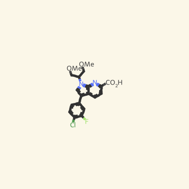 COCC(COC)n1cc(-c2ccc(Cl)c(F)c2)c2ccc(C(=O)O)nc21